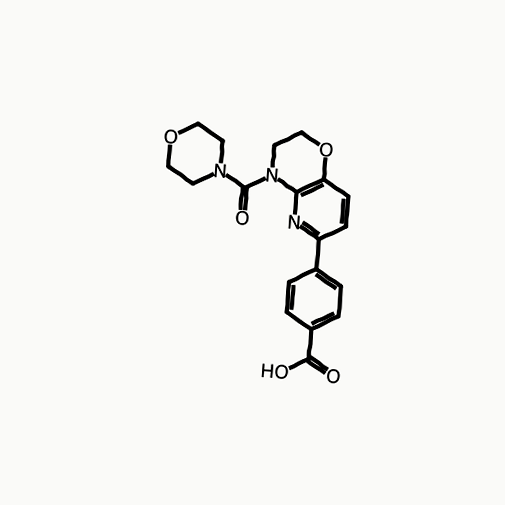 O=C(O)c1ccc(-c2ccc3c(n2)N(C(=O)N2CCOCC2)CCO3)cc1